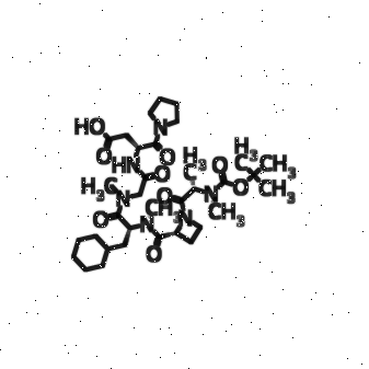 C[C@@H](C(=O)N1CC[C@H]1C(=O)N(C)[C@@H](CC1CCCCC1)C(=O)N(C)CC(=O)N[C@@H](CC(=O)O)C(=O)N1CCCC1)N(C)C(=O)OC(C)(C)C